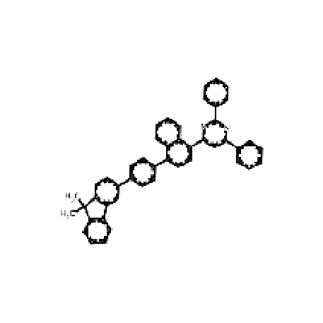 CC1(C)c2ccccc2-c2cc(-c3ccc(-c4ccc(-c5cc(-c6ccccc6)nc(-c6ccccc6)n5)c5ccccc45)cc3)ccc21